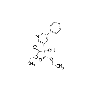 CCOC(=O)C(O)(C(=O)OCC)c1cncc(-c2ccccc2)c1